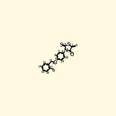 C=C1SC(=S)N(c2ccc(OCc3ccccc3C)cc2)C1=O